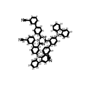 N#Cc1cccc(-c2ccc(-c3nc(-c4cc(-n5c6ccccc6c6ccccc65)ccc4-c4cccc(C#N)c4)nc(-c4cc(-n5c6ccccc6c6ccccc65)ccc4-c4cccc(C#N)c4)n3)cc2)c1